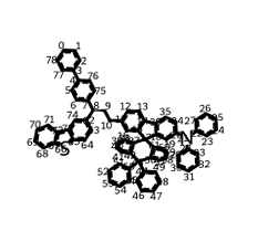 c1ccc(-c2ccc([C@@H](CCc3ccc4c(c3)C3(c5cc(N(c6ccccc6)c6ccccc6)ccc5-4)c4ccccc4C(c4ccccc4)(c4ccccc4)c4ccccc43)c3ccc4sc5ccccc5c4c3)cc2)cc1